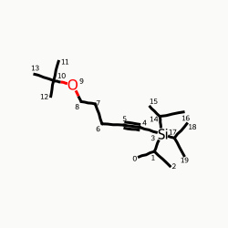 CC(C)[Si](C#CCCCOC(C)(C)C)(C(C)C)C(C)C